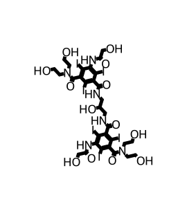 O=C(CO)Nc1c(I)c(C(=O)NCC(O)CNC(=O)c2c(I)c(NC(=O)CO)c(I)c(C(=O)N(CCO)CCO)c2I)c(I)c(C(=O)N(CCO)CCO)c1I